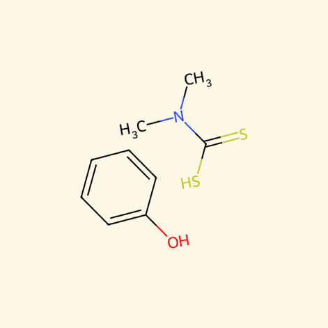 CN(C)C(=S)S.Oc1ccccc1